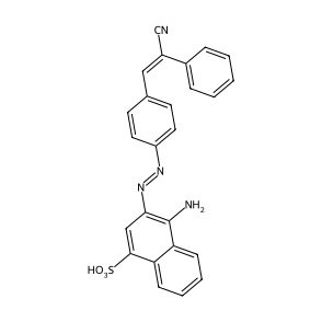 N#CC(=Cc1ccc(N=Nc2cc(S(=O)(=O)O)c3ccccc3c2N)cc1)c1ccccc1